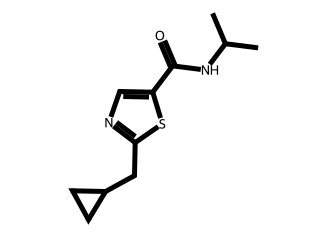 CC(C)NC(=O)c1cnc(CC2CC2)s1